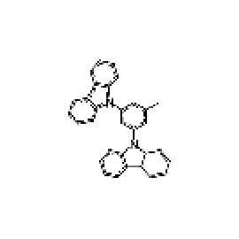 Cc1cc(N2c3ccccc3C3C=CC=CC32)cc(-n2c3ccccc3c3ccccc32)c1